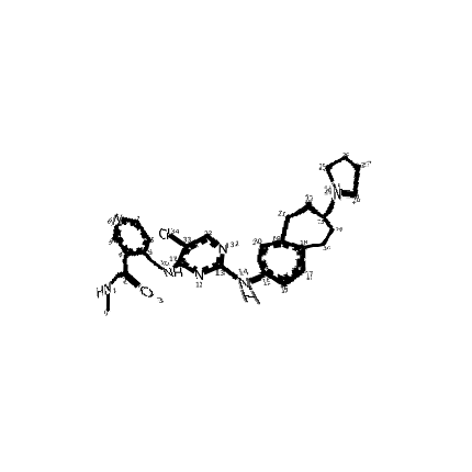 CNC(=O)c1cnccc1Nc1nc(Nc2ccc3c(c2)CCC(N2CCCC2)CC3)ncc1Cl